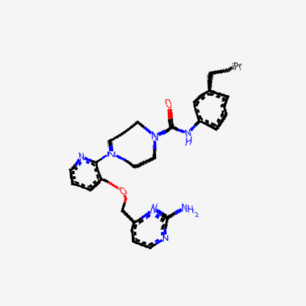 CC(C)Cc1cccc(NC(=O)N2CCN(c3ncccc3OCc3ccnc(N)n3)CC2)c1